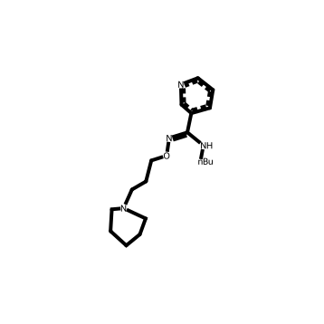 CCCCNC(=NOCCCN1CCCCC1)c1cccnc1